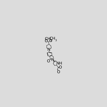 COC(OC)C1CCN(c2ccc3c(c2)CN([C@H]2CCC(C(=O)C=O)NC2)C3=O)CC1